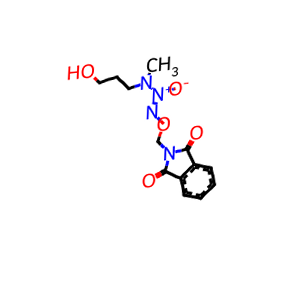 CN(CCCO)[N+]([O-])=NOCN1C(=O)c2ccccc2C1=O